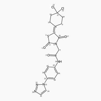 O=C(CN1C(=O)SC(=C2CCC(Cl)(Cl)CC2)C1=O)Nc1ccc(-n2ccnn2)cc1